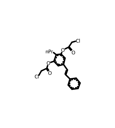 CCCc1c(OC(=O)CCl)cc(C=Cc2ccccc2)cc1OC(=O)CCl